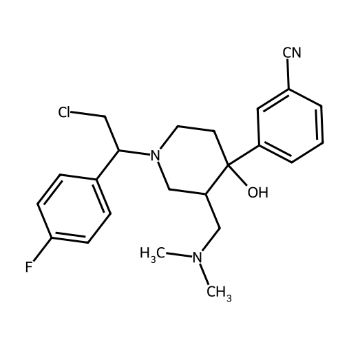 CN(C)CC1CN(C(CCl)c2ccc(F)cc2)CCC1(O)c1cccc(C#N)c1